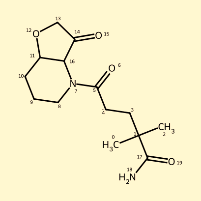 CC(C)(C[CH]C(=O)N1CCCC2OCC(=O)C21)C(N)=O